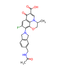 CC(=O)NCc1ccc2c(c1)CN(c1c(F)cc3c(=O)c(C(=O)O)cn4c3c1OCC4C)C2